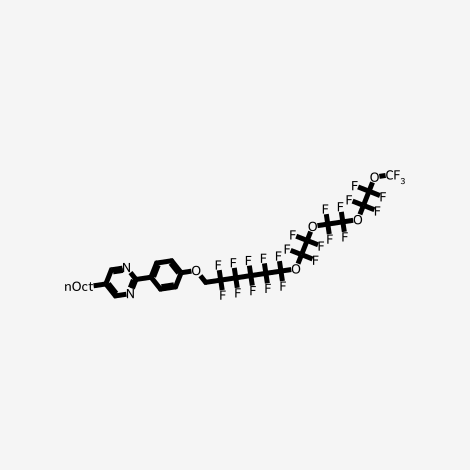 CCCCCCCCc1cnc(-c2ccc(OCC(F)(F)C(F)(F)C(F)(F)C(F)(F)C(F)(F)OC(F)(F)C(F)(F)OC(F)(F)C(F)(F)OC(F)(F)C(F)(F)OC(F)(F)F)cc2)nc1